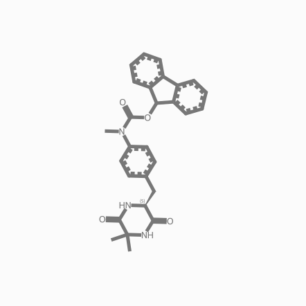 CN(C(=O)OC1c2ccccc2-c2ccccc21)c1ccc(C[C@@H]2NC(=O)C(C)(C)NC2=O)cc1